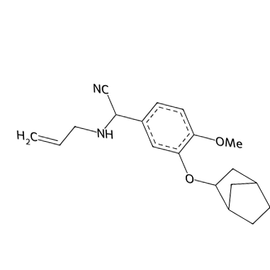 C=CCNC(C#N)c1ccc(OC)c(OC2CC3CCC2C3)c1